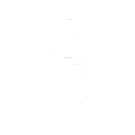 CCCCCCCCCC(CC)NC(CCCC)CCCCCC(C)C